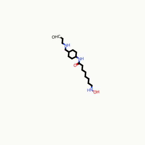 O=CCCNCC1CCC(NC(=O)CCCCCCCNO)CC1